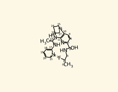 CC(F)CNC(O)c1ccc2c(n1)N(C(C)Nc1ccccn1)[C@H]1CCN2C1